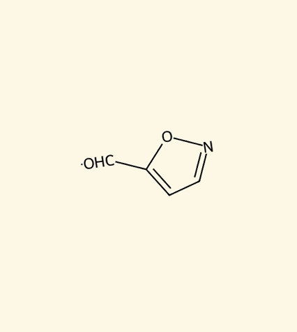 O=[C]c1ccno1